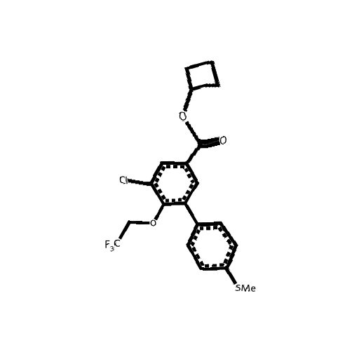 CSc1ccc(-c2cc(C(=O)OC3CCC3)cc(Cl)c2OCC(F)(F)F)cc1